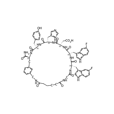 NC(=O)[C@@H]1Cc2cccc(c2)CNC(=O)CCCCC(=O)NCC(=O)N[C@@H](Cc2c[nH]c3ccc(F)cc23)C(=O)N[C@@H](Cc2c[nH]c3ccc(F)cc23)C(=O)N[C@@H](CC(=O)O)C(=O)N[C@@H](Cc2cnc[nH]2)C(=O)N[C@@H](Cc2ccc(O)cc2)C(=O)N1